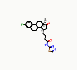 C[C@]12CCC3c4ccc(F)cc4CCC3C1[C@H](CCCC(=O)Nc1nncs1)CC2=O